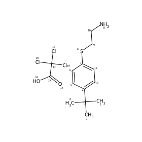 CC(C)(C)c1ccc(SCCN)cc1.O=C(O)C(Cl)(Cl)Cl